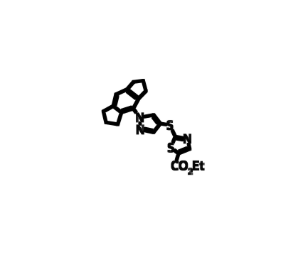 CCOC(=O)c1cnc(Sc2cnn(-c3c4c(cc5c3CCC5)CCC4)c2)s1